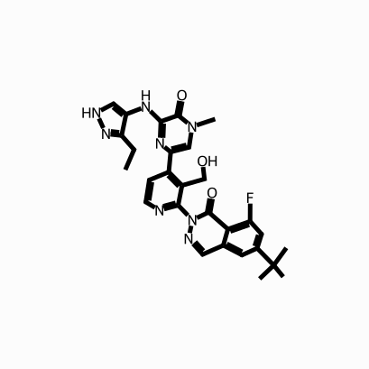 CCc1n[nH]cc1Nc1nc(-c2ccnc(-n3ncc4cc(C(C)(C)C)cc(F)c4c3=O)c2CO)cn(C)c1=O